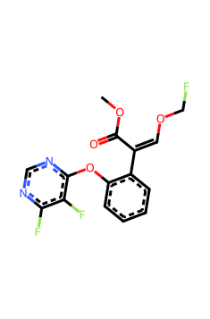 COC(=O)C(=COCF)c1ccccc1Oc1ncnc(F)c1F